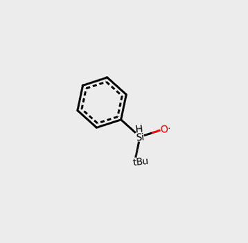 CC(C)(C)[SiH]([O])c1ccccc1